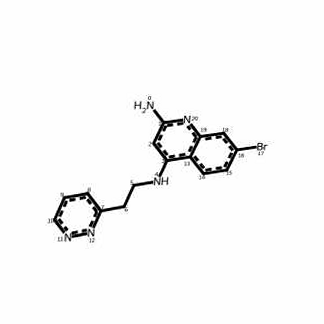 Nc1cc(NCCc2cccnn2)c2ccc(Br)cc2n1